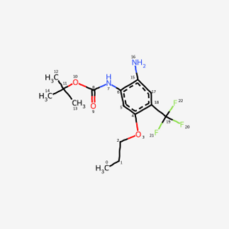 CCCOc1cc(NC(=O)OC(C)(C)C)c(N)cc1C(F)(F)F